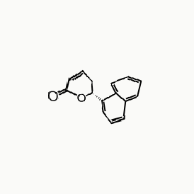 O=C1C=CC[C@H](c2cccc3ccccc23)O1